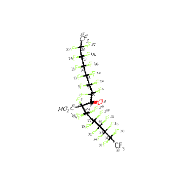 O=C(O)C(F)(C(=O)C(F)(F)C(F)(F)C(F)(F)C(F)(F)C(F)(F)C(F)(F)C(F)(F)F)C(F)(F)C(F)(F)C(F)(F)C(F)(F)C(F)(F)C(F)(F)F